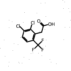 O=C(O)Cc1c(C(F)(F)F)ccc(Cl)c1Cl